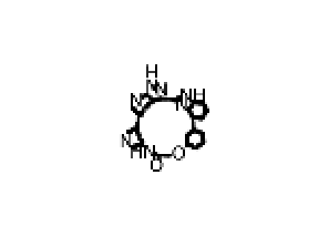 O=C1COc2cccc(c2)-c2cccc3[nH]c(nc23)-c2n[nH]c3ncc(cc23)-c2cncc(c2)N1